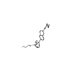 CCCCCc1ccc(-c2ccc3cc(C#N)ccc3c2)s1